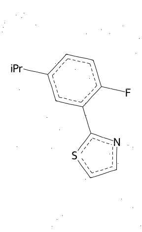 CC(C)c1ccc(F)c(-c2nccs2)c1